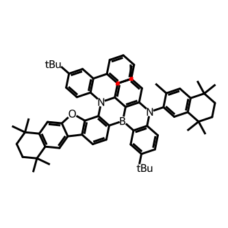 Cc1cc2c3c(c1)N(c1ccc(C(C)(C)C)cc1-c1ccccc1)c1c(ccc4c1oc1cc5c(cc14)C(C)(C)CCC5(C)C)B3c1cc(C(C)(C)C)ccc1N2c1cc2c(cc1C)C(C)(C)CCC2(C)C